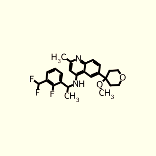 COC1(c2ccc3nc(C)cc(NC(C)c4cccc(C(F)F)c4F)c3c2)CCOCC1